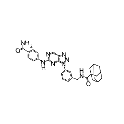 NC(=O)c1ccc(Nc2ncc3nnn(-c4cccc(CNC(=O)C56CC7CC(CC(C7)C5)C6)c4)c3n2)cc1